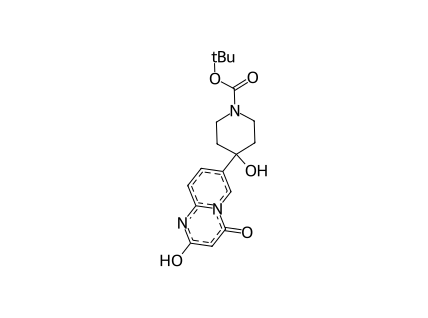 CC(C)(C)OC(=O)N1CCC(O)(c2ccc3nc(O)cc(=O)n3c2)CC1